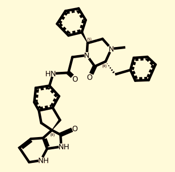 CN1C[C@H](c2ccccc2)N(CC(=O)Nc2ccc3c(c2)C[C@@]2(C3)C(=O)NC3=C2C=CCN3)C(=O)[C@H]1Cc1ccccc1